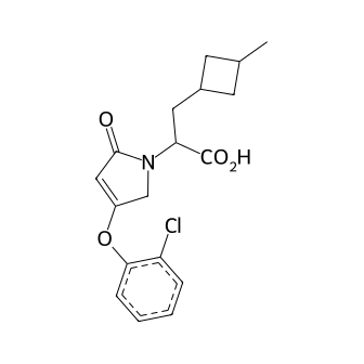 CC1CC(CC(C(=O)O)N2CC(Oc3ccccc3Cl)=CC2=O)C1